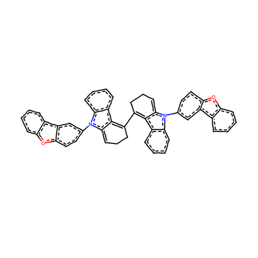 C1=c2c(c3ccccc3n2-c2ccc3oc4ccccc4c3c2)=C(C2=c3c(n(-c4ccc5oc6ccccc6c5c4)c4ccccc34)=CCC2)CC1